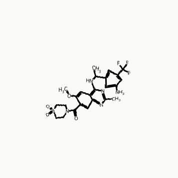 COc1cc2c(NC(C)c3cc(N)cc(C(F)(F)F)c3)nc(C)nc2cc1C(=O)N1CCS(=O)(=O)CC1